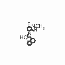 Cc1ncc2c(N=CC(O)(CC3CCCc4ccccc43)C(F)(F)F)ccc(F)c2n1